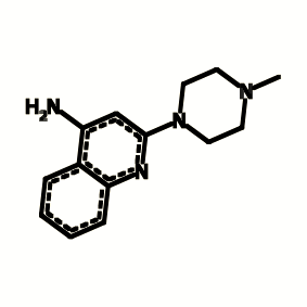 CN1CCN(c2cc(N)c3ccccc3n2)CC1